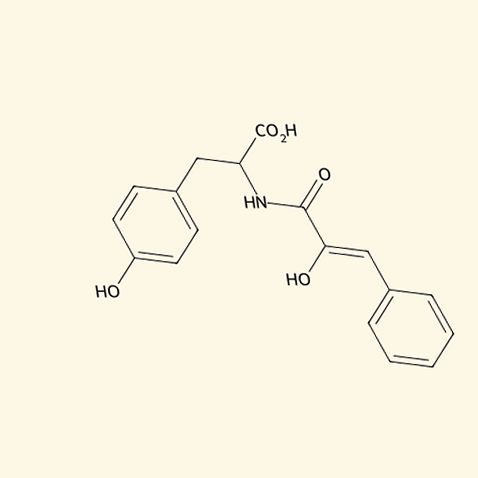 O=C(NC(Cc1ccc(O)cc1)C(=O)O)C(O)=Cc1ccccc1